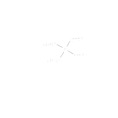 CCCCCC[CH2][Al-]([CH2]CCCCCC)([CH2]CCCCCC)[CH2]CCCCCC